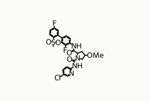 COC1CC(C(=O)Nc2ccc(-c3cc(F)ccc3S(C)(=O)=O)cc2F)N(C(=O)Nc2ccc(Cl)cn2)C1